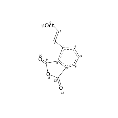 CCCCCCCCC=Cc1cccc2c1C(=O)OC2=O